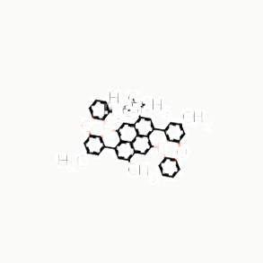 Cc1cc2c3c(c1)-c1cc(C)c4cc5c6c(cc([Si](C)(C)C)c7cc(c1c4c76)B3c1ccccc1O2)-c1cc(C)cc2c1B5c1ccccc1O2